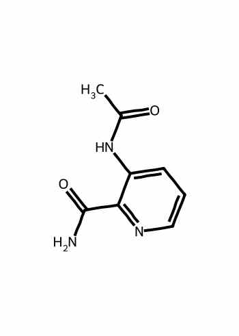 CC(=O)Nc1cccnc1C(N)=O